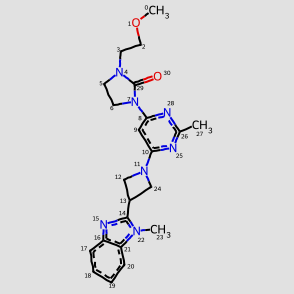 COCCN1CCN(c2cc(N3CC(c4nc5ccccc5n4C)C3)nc(C)n2)C1=O